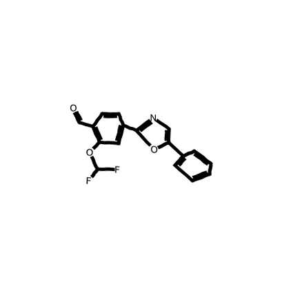 O=Cc1ccc(-c2ncc(-c3ccccc3)o2)cc1OC(F)F